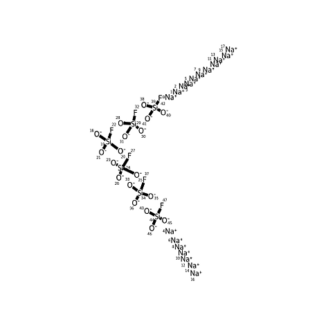 [Na+].[Na+].[Na+].[Na+].[Na+].[Na+].[Na+].[Na+].[Na+].[Na+].[Na+].[Na+].[Na+].[Na+].[Na+].[Na+].[Na+].[Na+].[O-][Si]([O-])([O-])F.[O-][Si]([O-])([O-])F.[O-][Si]([O-])([O-])F.[O-][Si]([O-])([O-])F.[O-][Si]([O-])([O-])F.[O-][Si]([O-])([O-])F